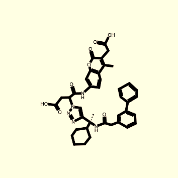 Cc1c(CC(=O)O)c(=O)oc2cc(NC(=O)C(CC(=O)O)n3cc([C@@](C)(NC(=O)Cc4cccc(-c5ccccc5)c4)C4CCCCC4)nn3)ccc12